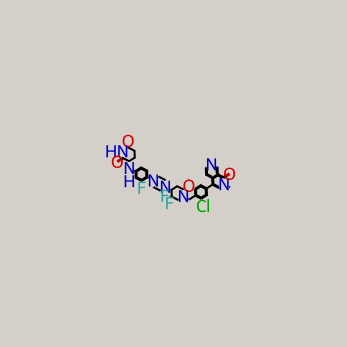 COc1cc(-c2cn(C)c(=O)c3cnccc23)cc(Cl)c1CN1CC[C@@H](N2CCN(c3ccc(NC4CCC(=O)NC4=O)cc3F)CC2)C(F)(F)C1